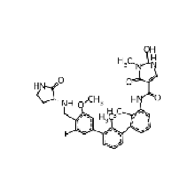 COc1cc(-c2cccc(-c3cccc(NC(=O)C4=CNC(O)N(C)C4=O)c3C)c2C)cc(F)c1CN[C@@H]1CCNC1=O